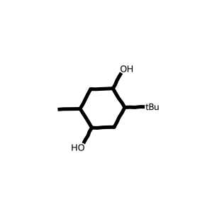 CC1CC(O)C(C(C)(C)C)CC1O